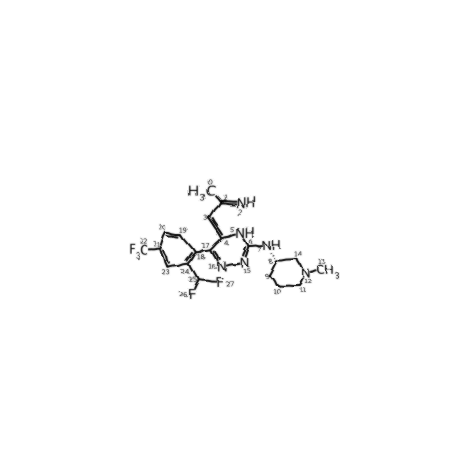 CC(=N)/C=C1\NC(N[C@H]2CCCN(C)C2)=NN=C1c1ccc(C(F)(F)F)cc1C(F)F